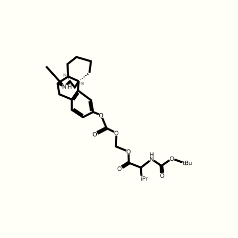 CC(C)C(NC(=O)OC(C)(C)C)C(=O)OCOC(=O)Oc1ccc2c(c1)[C@]13CCCC[C@@H]1C(C2)N(C)CC3